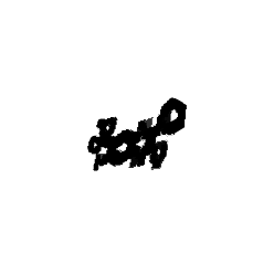 COC(=O)c1cc2nc(N3CCCCC3)c(OC)nc2cc1F